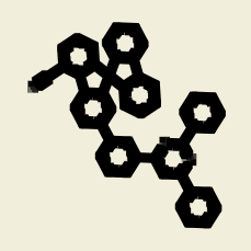 N#Cc1cccc2c1-c1ccc(-c3cccc(-c4cc(-c5ccccc5)nc(-c5ccccc5)n4)c3)cc1C21c2ccccc2-c2ccccc21